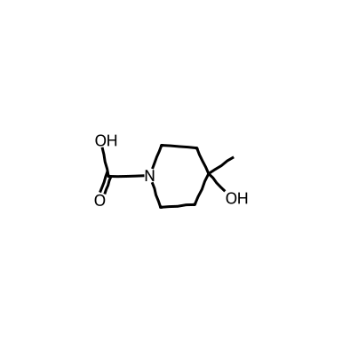 CC1(O)CCN(C(=O)O)CC1